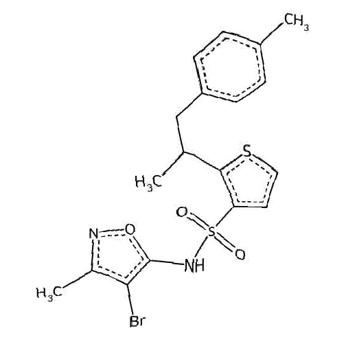 Cc1ccc(CC(C)c2sccc2S(=O)(=O)Nc2onc(C)c2Br)cc1